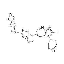 Cc1nc2ncc(-c3ccn4nc(NC5CC6(COC6)C5)ncc34)cc2n1C1CCOCC1